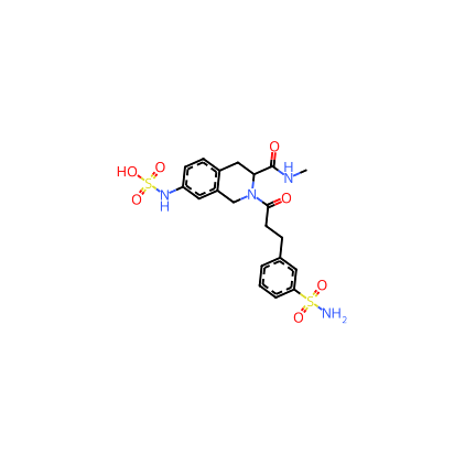 CNC(=O)C1Cc2ccc(NS(=O)(=O)O)cc2CN1C(=O)CCc1cccc(S(N)(=O)=O)c1